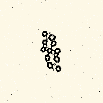 Fc1ccccc1N(c1ccccc1)c1ccc2c3cccc4c5c(n(c2c1)c43)C(C1=CCCC=C1)=C1c2cccc3c4ccc(N(C6=CC=CCC6F)c6ccccc6)cc4n(c23)C1C5c1ccccc1